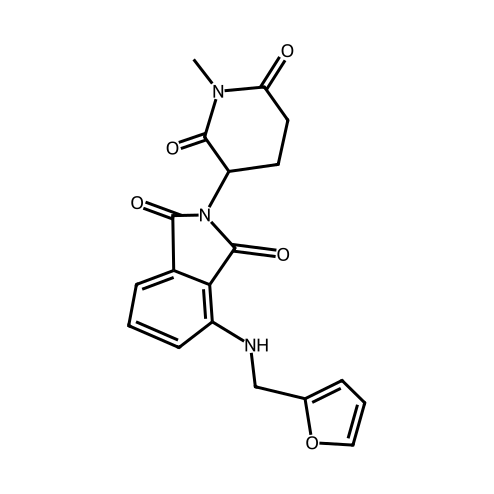 CN1C(=O)CCC(N2C(=O)c3cccc(NCc4ccco4)c3C2=O)C1=O